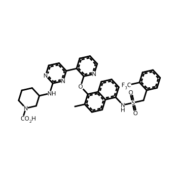 Cc1ccc2c(NS(=O)(=O)Cc3ccccc3C(F)(F)F)cccc2c1Oc1ncccc1-c1ccnc(NC2CCCN(C(=O)O)C2)n1